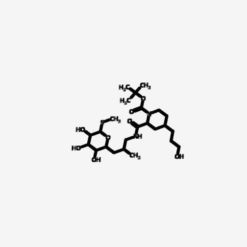 CSC1OC(CC(C)CNC(=O)C2CC(CCCO)CCN2C(=O)OC(C)(C)C)C(O)C(O)C1O